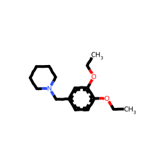 CCOc1ccc(CN2CCCCC2)cc1OCC